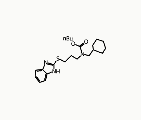 CCCCOC(=O)N(CCCSc1nc2ccccc2[nH]1)CC1CCCCC1